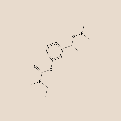 CCN(C)C(=O)Oc1cccc(C(C)ON(C)C)c1